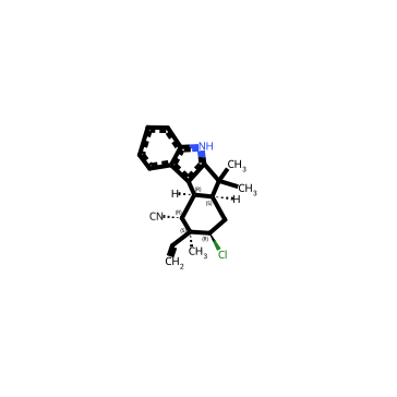 [C-]#[N+][C@@H]1[C@H]2c3c([nH]c4ccccc34)C(C)(C)[C@H]2C[C@@H](Cl)[C@@]1(C)C=C